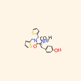 O=C(O)N[C@@H](Cc1ccc(O)cc1)C(=O)N(Cc1cccs1)Cc1cccs1